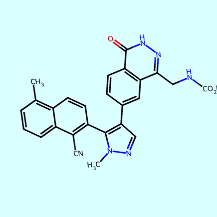 Cc1cccc2c(C#N)c(-c3c(-c4ccc5c(=O)[nH]nc(CNC(=O)O)c5c4)cnn3C)ccc12